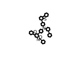 c1ccc(-c2cccc(N(c3ccc(-c4c5oc(-c6ccccc6)nc5cc5c4oc4ccccc45)cc3)c3ccc(-c4cccc5c4sc4ccccc45)cc3)c2)cc1